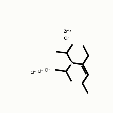 CCC=C(CC)P(C(C)C)C(C)C.[Cl-].[Cl-].[Cl-].[Cl-].[Zr+4]